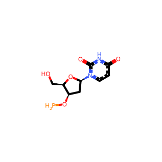 O=c1ccn([C@H]2C[C@@H](OP)[C@@H](CO)O2)c(=O)[nH]1